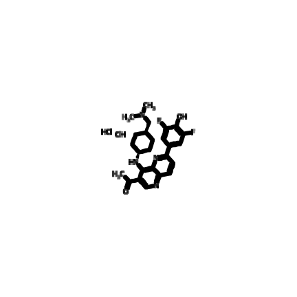 CC(=O)c1cnc2ccc(-c3cc(F)c(O)c(F)c3)nc2c1N[C@H]1CC[C@H](CN(C)C)CC1.Cl.Cl